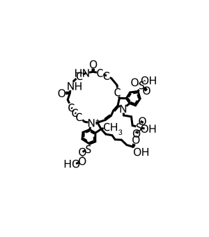 CC1(CCCCCC(=O)O)C2=[N+](CCCCCC(=O)NCCNC(=O)CCCCCC3/C(=C/C=C/2)N(CCCS(=O)(=O)O)c2ccc(S(=O)(=O)O)cc23)c2ccc(SOOO)cc21